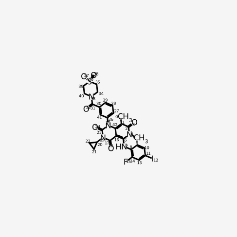 Cc1c(=O)n(C)c(Nc2ccc(I)cc2F)c2c(=O)n(C3CC3)c(=O)n(-c3cccc(C(=O)N4CCS(=O)(=O)CC4)c3)c12